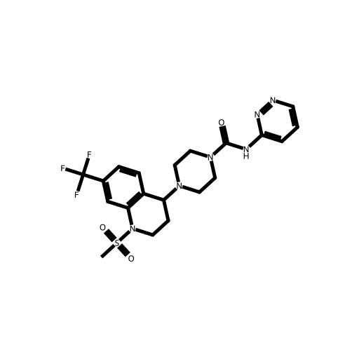 CS(=O)(=O)N1CCC(N2CCN(C(=O)Nc3cccnn3)CC2)c2ccc(C(F)(F)F)cc21